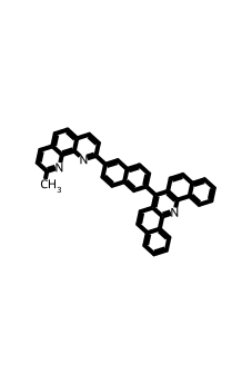 Cc1ccc2ccc3ccc(-c4ccc5cc(-c6c7ccc8ccccc8c7nc7c6ccc6ccccc67)ccc5c4)nc3c2n1